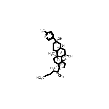 C[C@H](CCCC(=O)O)[C@H]1CC[C@H]2[C@@H]3[C@H](O)C[C@@H]4C[C@](O)(c5ccc(C(F)(F)F)nc5)CC[C@]4(C)[C@H]3CC[C@]12C